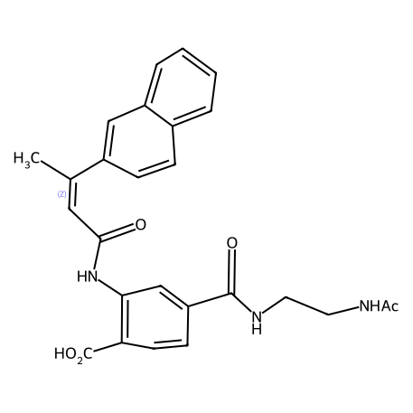 CC(=O)NCCNC(=O)c1ccc(C(=O)O)c(NC(=O)/C=C(/C)c2ccc3ccccc3c2)c1